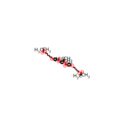 C=C(C)C(=O)OCCCCCCOc1ccc(C(=O)Oc2ccc(OC(=O)c3ccc(OCCCCCCOC(=O)C(=C)C)cc3)c(C(C)(C)C)c2)cc1